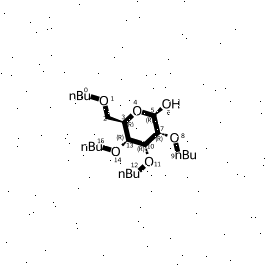 CCCCOC[C@H]1O[C@@H](O)[C@H](OCCCC)[C@H](OCCCC)[C@@H]1OCCCC